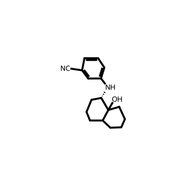 N#Cc1cccc(N[C@H]2CCCC3CCCCC32O)c1